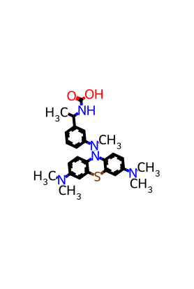 CC(NC(=O)O)c1cccc(N(C)N2c3ccc(N(C)C)cc3Sc3cc(N(C)C)ccc32)c1